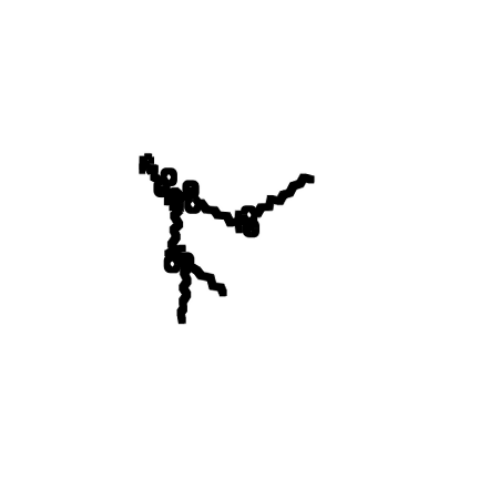 CCCCCCCCCCCOC(=O)C(C)(C)CCCCCCOC(=O)C1C[C@H](OC(=O)CCN(C)C)CN1CCCCCCC(C)(C)C(=O)OC(CCCCCC)CCCCCCCC